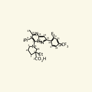 CCC1(C(=O)O)CCCN(c2c(C(C)C)c(C)nc3cc(-c4ccc(C(F)(F)F)cc4F)nn23)C1